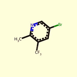 Cc1ncc(Br)cc1C(F)(F)F